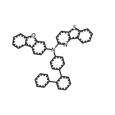 c1ccc(-c2ccccc2-c2ccc(N(c3ccc4c(c3)oc3ccccc34)c3ccc4sc5ccccc5c4n3)cc2)cc1